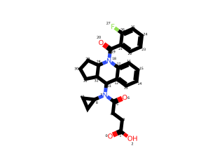 O=C(O)CCC(=O)N(C1CC1)C1c2ccccc2N(C(=O)c2ccccc2F)C2CCCC21